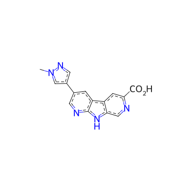 Cn1cc(-c2cnc3[nH]c4cnc(C(=O)O)cc4c3c2)cn1